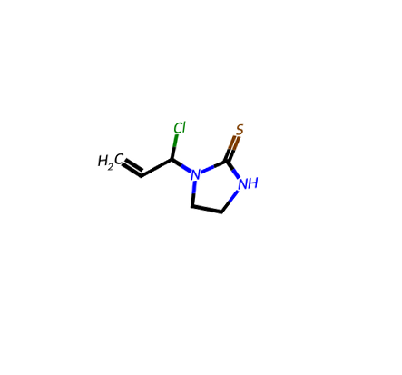 C=CC(Cl)N1CCNC1=S